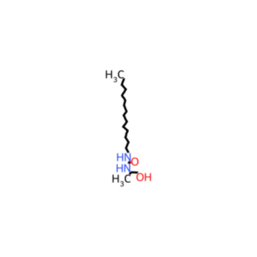 CCCCCCCCCCCCCCCCNC(=O)NC(C)CO